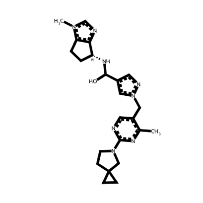 Cc1nc(N2CCC3(CC3)C2)ncc1Cn1cc(C(O)N[C@@H]2CCc3c2ncn3C)cn1